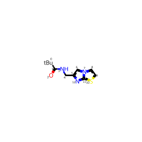 CC(C)(C)C(=O)NCc1cn2ccsc2n1